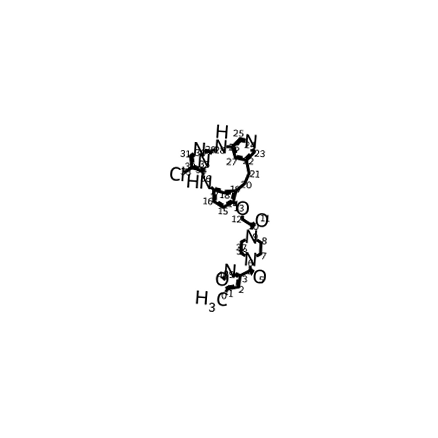 Cc1cc(C(=O)N2CCN(C(=O)COc3ccc4cc3CCc3cncc(c3)Nc3ncc(Cl)c(n3)N4)CC2)no1